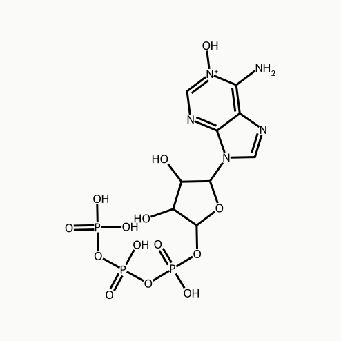 Nc1c2ncn(C3OC(OP(=O)(O)OP(=O)(O)OP(=O)(O)O)C(O)C3O)c2nc[n+]1O